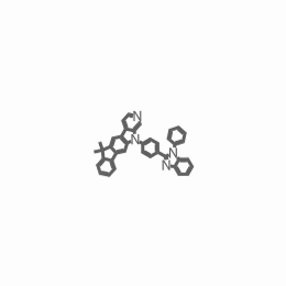 CC1(C)c2ccccc2-c2cc3c(cc21)c1ccncc1n3-c1ccc(-c2nc3ccccc3n2-c2ccccc2)cc1